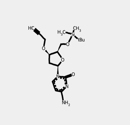 C#CCO[C@@H]1C[C@H](n2ccc(N)nc2=O)O[C@@H]1CO[Si](C)(C)C(C)(C)C